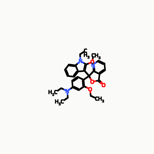 CCOc1cc(N(CC)CC)ccc1C1(c2c(OC)n(CC)c3ccccc23)OC(=O)c2cccnc21